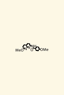 COc1ccc(C(=O)Nc2ccc3ccc(OC)nc3n2)cc1